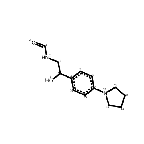 O=CNCC(O)c1ccc(N2CCCC2)cc1